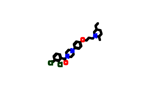 CCC1CCC(C)N(CCCOc2ccc(N3CCN(C(=O)c4cccc(Cl)c4Cl)CC3)cc2)C1